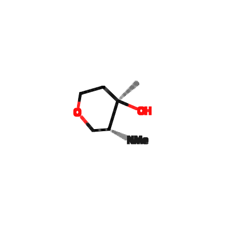 CN[C@@H]1COCC[C@@]1(C)O